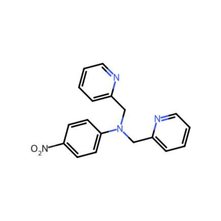 O=[N+]([O-])c1ccc(N(Cc2ccccn2)Cc2ccccn2)cc1